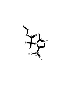 CCOC(=O)C(C)(F)n1c([N+](=O)[O-])cnc1C